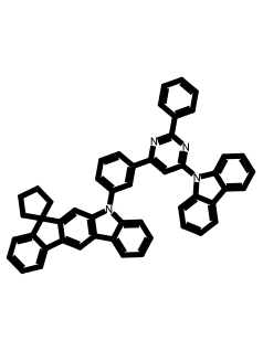 c1ccc(-c2nc(-c3cccc(-n4c5ccccc5c5cc6c(cc54)C4(CCCC4)c4ccccc4-6)c3)cc(-n3c4ccccc4c4ccccc43)n2)cc1